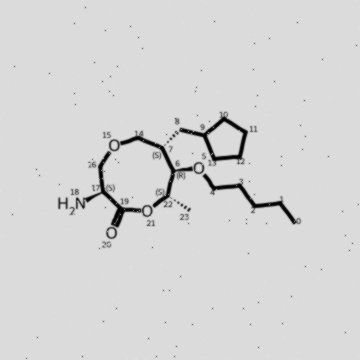 CCCCCO[C@@H]1[C@@H](CC2CCCC2)COC[C@H](N)C(=O)O[C@H]1C